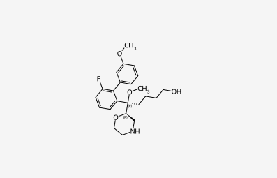 COc1cccc(-c2c(F)cccc2[C@@](CCCCO)(OC)[C@H]2CNCCO2)c1